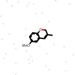 COc1ccc2c(c1)C=C(C)CO2